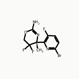 C[C@]1(c2nc(Br)ccc2F)N=C(N)OCC1(F)F